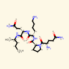 NCCCC[C@H](NC(=O)[C@@H]1CCCN1C(=O)[C@@H](N)CCC(N)=O)C(=O)N[C@@H](CCC(N)=O)C(=O)N[C@@H](CCC(=O)O)C(=O)O